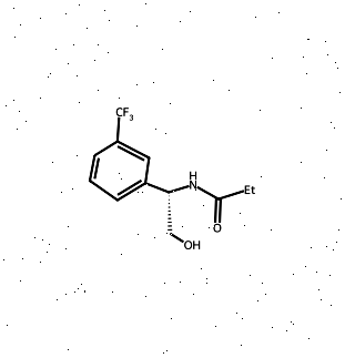 CCC(=O)N[C@H](CO)c1cccc(C(F)(F)F)c1